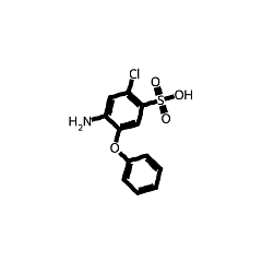 Nc1cc(Cl)c(S(=O)(=O)O)cc1Oc1ccccc1